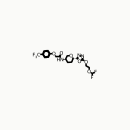 O=C(COc1ccc(C(F)(F)F)cc1)N[C@@H]1CC[C@@H](c2nnc(OCCOC(F)F)o2)OC1